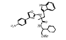 COCC(NC(=O)C(C)(Cc1c[nH]c2ccccc12)Nc1nc(-c2ccc([N+](=O)[O-])cc2)co1)C1CCCCC1